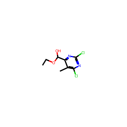 CCOC(O)c1nc(Cl)nc(Cl)c1C